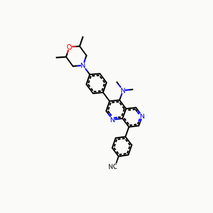 CC1CN(c2ccc(-c3cnc4c(-c5ccc(C#N)cc5)cncc4c3N(C)C)cc2)CC(C)O1